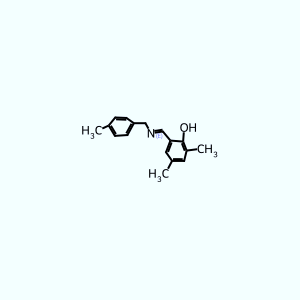 Cc1ccc(C/N=C/c2cc(C)cc(C)c2O)cc1